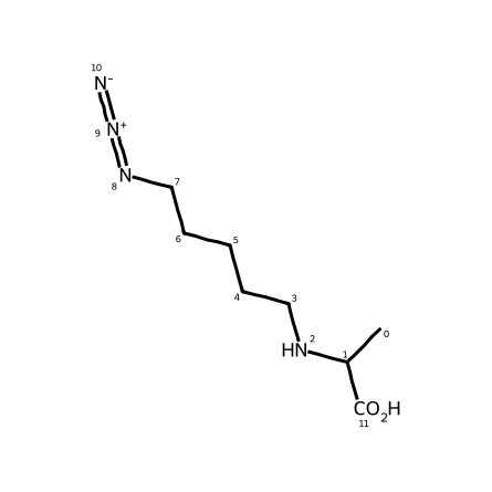 CC(NCCCCCN=[N+]=[N-])C(=O)O